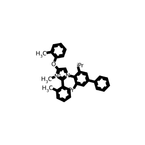 Cc1ccccc1Oc1cn(-c2c(C(C)C)cc(-c3ccccc3)cc2C(C)C)c(-c2ccccc2C)[n+]1C